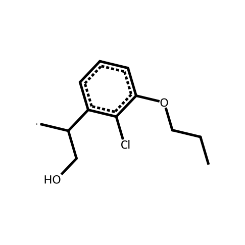 [CH2]C(CO)c1cccc(OCCC)c1Cl